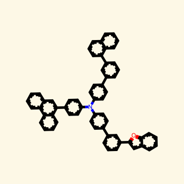 c1cc(-c2ccc(N(c3ccc(-c4cccc(-c5cccc6ccccc56)c4)cc3)c3ccc(-c4cc5ccccc5c5ccccc45)cc3)cc2)cc(-c2cc3ccccc3o2)c1